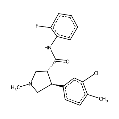 Cc1ccc([C@H]2CN(C)C[C@@H]2C(=O)Nc2ccccc2F)cc1Cl